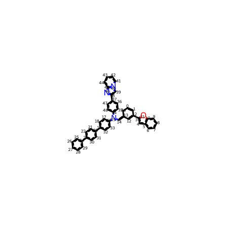 C1=CC(c2cc3ccccc3o2)=C/C(=C/N(c2ccc(-c3ccc(-c4ccccc4)cc3)cc2)c2ccc(-c3cn4ccccc4n3)cc2)C1